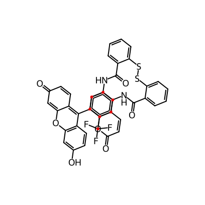 O=C(Nc1ccc(-c2c3ccc(=O)cc-3oc3cc(O)ccc23)c(C(F)(F)F)c1)c1ccccc1SSc1ccccc1C(=O)Nc1ccc2oc(=O)ccc2c1